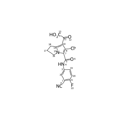 N#Cc1cc(NC(=O)c2c(Cl)c(C(=O)C(=O)O)c3n2CCC3)ccc1F